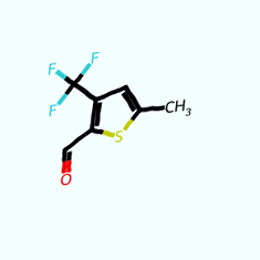 Cc1cc(C(F)(F)F)c(C=O)s1